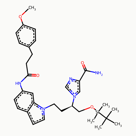 COc1ccc(CCC(=O)Nc2ccc3ccn(CC[C@H](CO[Si](C)(C)C(C)(C)C)n4cnc(C(N)=O)c4)c3c2)cc1